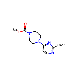 COc1nccc(N2CCN(C(=O)OC(C)(C)C)CC2)n1